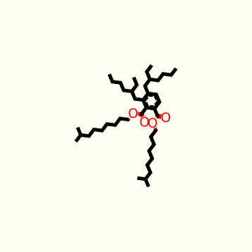 CCCCC(CC)Cc1ccc(C(=O)OCCCCCCCC(C)C)c(C(=O)OCCCCCCCC(C)C)c1CC(CC)CCCC